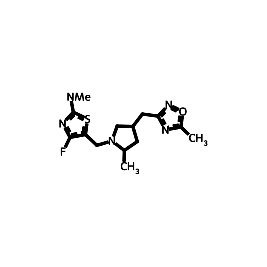 CNc1nc(F)c(CN2CC(Cc3noc(C)n3)CC2C)s1